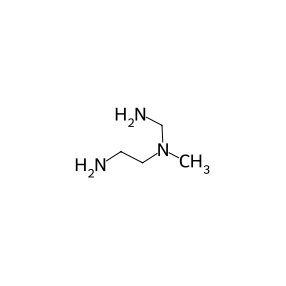 CN(CN)CCN